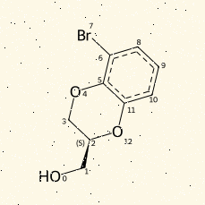 OC[C@H]1COc2c(Br)cccc2O1